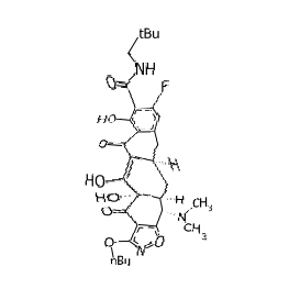 CCCCOc1noc2c1C(=O)[C@@]1(O)C(O)=C3C(=O)c4c(cc(F)c(C(=O)NCC(C)(C)C)c4O)C[C@H]3C[C@H]1[C@@H]2N(C)C